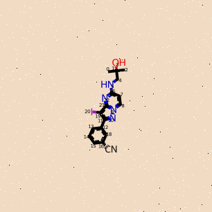 CC(C)(O)CNc1ccn2nc(-c3cccc(C#N)c3)c(I)c2n1